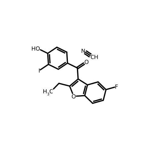 C#N.CCc1oc2ccc(F)cc2c1C(=O)c1ccc(O)c(I)c1